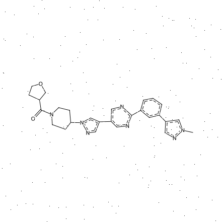 Cn1cc(-c2cccc(-c3ncc(-c4cnn(C5CCN(C(=O)C6CCOC6)CC5)c4)cn3)c2)cn1